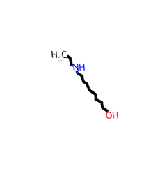 CCCNCCCCCCCCCCO